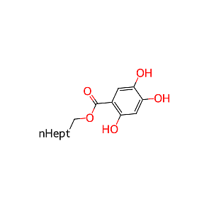 CCCCCCCCOC(=O)c1cc(O)c(O)cc1O